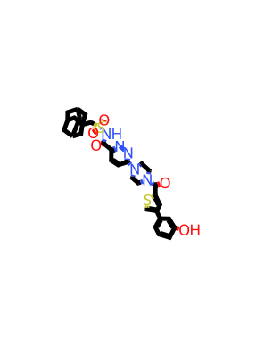 O=C(NS(=O)(=O)CC12CC3CC(CC(C3)C1)C2)c1ccc(N2CCN(C(=O)c3cc(-c4cccc(O)c4)cs3)CC2)nn1